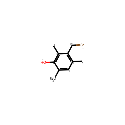 Cc1cc(C(C)(C)C)c(O)c(C)c1CBr